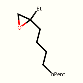 CCCCCCCCCC1(CC)CO1